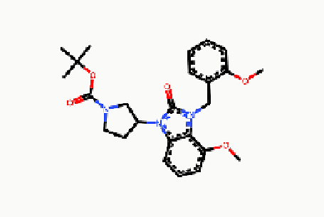 COc1ccccc1Cn1c(=O)n(C2CCN(C(=O)OC(C)(C)C)C2)c2cccc(OC)c21